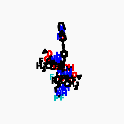 CC(C)([C@H](NC(=O)OC1CC1)C(=O)N[C@@H](Cc1ccc(C#Cc2ccc(N3CC4CCC(C3)N4C3COC3)nc2)cc1)[C@@H](O)CN(Cc1c(F)cc(C(=N)/C=C\NC(F)F)cc1F)NC(=O)[C@@H](NC(=O)OC1CC1)C(C)(C)C(F)(F)F)C(F)(F)F